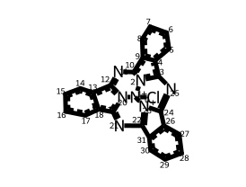 Cl[N+]12n3c4c5ccccc5c3N=c3c5ccccc5c(n31)=NC1=[N+]2C(=N4)c2ccccc21